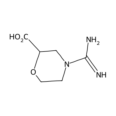 N=C(N)N1CCOC(C(=O)O)C1